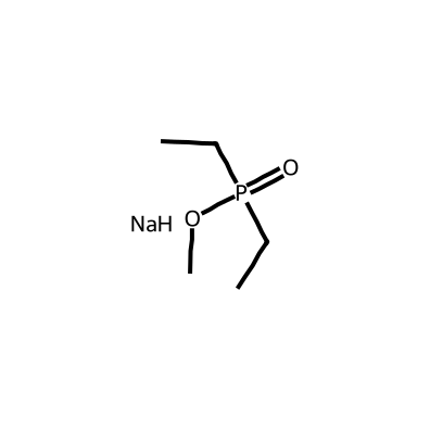 CCP(=O)(CC)OC.[NaH]